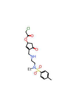 CCN(CCNCC1=CC(OC(=O)CCl)CC1=O)S(=O)(=O)c1ccc(C)cc1